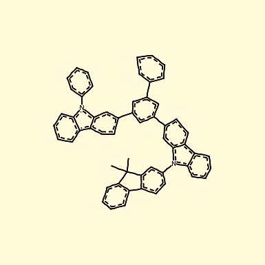 CC1(C)c2ccccc2-c2ccc(-n3c4ccccc4c4ccc(-c5cc(-c6ccccc6)cc(-c6ccc7c8ccccc8n(-c8ccccc8)c7c6)c5)cc43)cc21